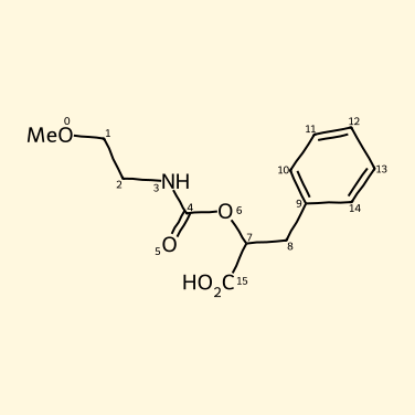 COCCNC(=O)OC(Cc1ccccc1)C(=O)O